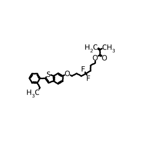 C=C(C)C(=O)OCCCC(F)(F)CCCOc1ccc2cc(-c3ccccc3CC)sc2c1